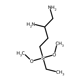 CC[Si](CCC(N)CN)(OC)OC